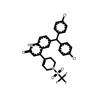 O=c1cc(C2=CCN(S(=O)(=O)C(F)(F)F)CC2)c2cc(C(c3ccc(Cl)cc3)c3ccc(Cl)cc3)ccc2[nH]1